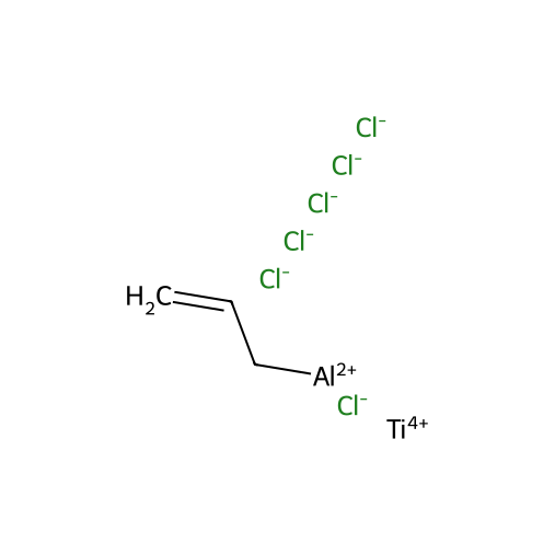 C=C[CH2][Al+2].[Cl-].[Cl-].[Cl-].[Cl-].[Cl-].[Cl-].[Ti+4]